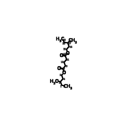 CCC(C)CCOC(=O)CCCC(=O)OCCC(C)CC